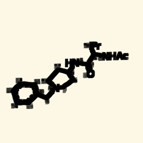 CC(=O)NC(C(=O)NC1CCN(Cc2ccccc2)CC1)C(C)C